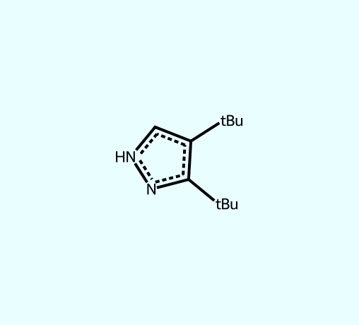 CC(C)(C)c1c[nH]nc1C(C)(C)C